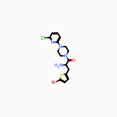 NC(Cc1ccc(Br)s1)C(=O)N1CCN(c2cccc(Cl)n2)CC1